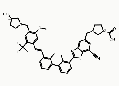 COc1cc(/C=C/c2cccc(-c3cccc(-c4nc5cc(CN6CC[C@H](C(=O)O)C6)cc(C#N)c5o4)c3C)c2C)c(C(F)(F)F)cc1CN1CC[C@@H](O)C1